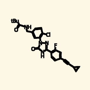 CC(C)(C)C(=O)NCc1ccc(Cl)c(-n2nc(-c3ccc(C#CC4CC4)cc3F)[nH]c2=O)c1